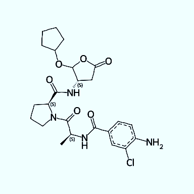 C[C@H](NC(=O)c1ccc(N)c(Cl)c1)C(=O)N1CCC[C@H]1C(=O)N[C@H]1CC(=O)OC1OC1CCCC1